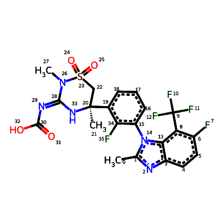 Cc1nc2ccc(F)c(C(F)(F)F)c2n1-c1cccc([C@]2(C)CS(=O)(=O)N(C)/C(=N/C(=O)O)N2)c1F